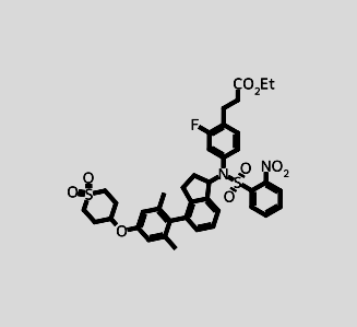 CCOC(=O)CCc1ccc(N(C2CCc3c(-c4c(C)cc(OC5CCS(=O)(=O)CC5)cc4C)cccc32)S(=O)(=O)c2ccccc2[N+](=O)[O-])cc1F